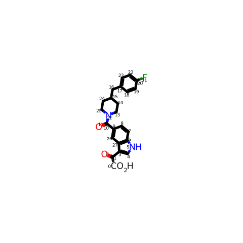 O=C(O)C(=O)c1c[nH]c2ccc(C(=O)N3CCC(Cc4ccc(F)cc4)CC3)cc12